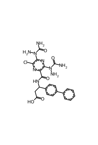 NC(=O)N(N)c1nc(N(N)C(N)=O)c(C(=O)NC(CC(=O)O)c2ccc(-c3ccccc3)cc2)nc1Cl